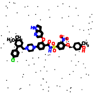 CC1(C)CCC(CN2CCN(c3ccc(C(=O)NS(=O)(=O)c4ccc(OC[C@H]5CC[C@@](C)(O)CC5)c([N+](=O)[O-])c4)c(Oc4cnc5[nH]ccc5c4)c3)CC2)=C(c2ccc(Cl)cc2)C1